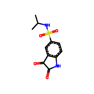 CC(C)NS(=O)(=O)c1ccc2c(c1)C(=O)C(=O)N2